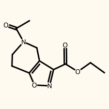 CCOC(=O)c1noc2c1CN(C(C)=O)CC2